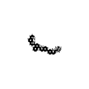 c1cnc2c(c1)ccc1ccc(-c3ccc(-c4ccc5cc(-c6ccc7ccc(-c8ncncn8)nc7c6)ccc5n4)c4ccccc34)nc12